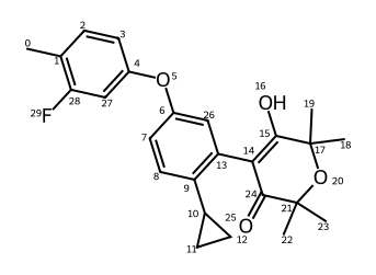 Cc1ccc(Oc2ccc(C3CC3)c(C3=C(O)C(C)(C)OC(C)(C)C3=O)c2)cc1F